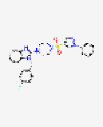 O=S(=O)(c1cnn(-c2ccccc2)c1)N1CCN(c2nc3ccccc3n2Cc2ccc(F)cc2)CC1